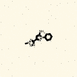 Cn1nnc(-c2cc(N)n(-c3ccccc3)n2)n1